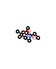 c1ccc(-c2c3ccccc3c(-c3ccc(-c4ccccc4-c4nc(-c5cccc6c5oc5ccccc56)cc(-c5cccc6c5oc5ccccc56)n4)cc3)c3ccccc23)cc1